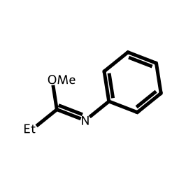 [CH2]CC(=Nc1ccccc1)OC